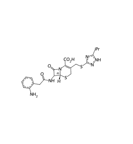 CC(C)c1nc(SCC2=C(C(=O)O)N3C(=O)C(NC(=O)Cc4ccccc4N)[C@H]3SC2)n[nH]1